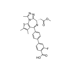 COC(=O)C[C@@H]1N=C(c2ccc(-c3ccc(C(=O)O)c(F)c3)cc2)c2c(sc(C)c2C)-n2c(C)nnc21